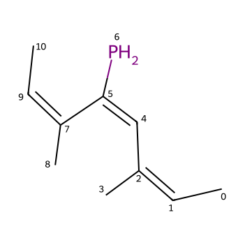 C\C=C(C)/C=C(P)\C(C)=C/C